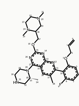 C=CCOc1cccc(F)c1-c1nc2nc(OCC3CN(C)CCN3C)nc(N3CCNC[C@H]3C)c2cc1C